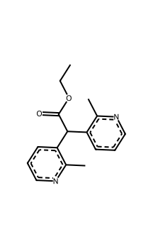 CCOC(=O)C(c1cccnc1C)c1cccnc1C